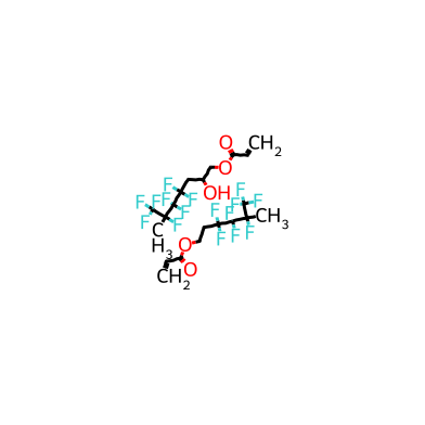 C=CC(=O)OCC(O)CC(F)(F)C(F)(F)C(C)(F)C(F)(F)F.C=CC(=O)OCCC(F)(F)C(F)(F)C(C)(F)C(F)(F)F